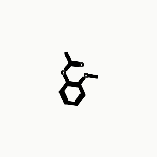 COc1ccc[c]c1OC(C)=O